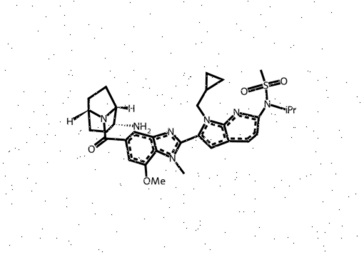 COc1cc(C(=O)N2[C@@H]3CC[C@@H](N)[C@H]2CC3)cc2nc(-c3cc4ccc(N(C(C)C)S(C)(=O)=O)nc4n3CC3CC3)n(C)c12